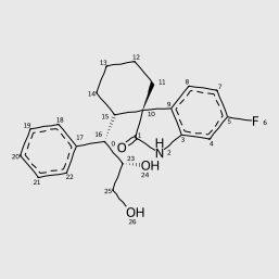 O=C1Nc2cc(F)ccc2[C@]12CCCCC2[C@@H](c1ccccc1)[C@H](O)CO